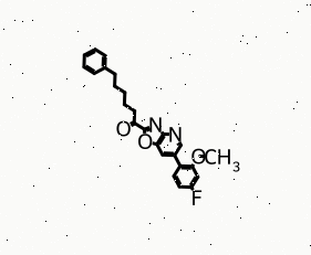 COc1cc(F)ccc1-c1cnc2nc(C(=O)CCCCCc3ccccc3)oc2c1